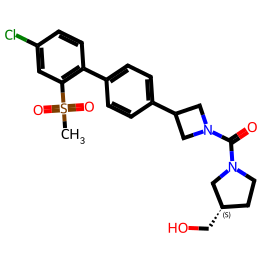 CS(=O)(=O)c1cc(Cl)ccc1-c1ccc(C2CN(C(=O)N3CC[C@H](CO)C3)C2)cc1